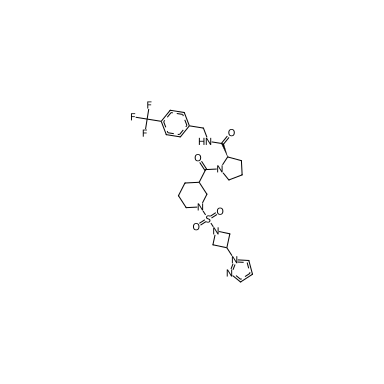 O=C(NCc1ccc(C(F)(F)F)cc1)[C@H]1CCCN1C(=O)C1CCCN(S(=O)(=O)N2CC(n3cccn3)C2)C1